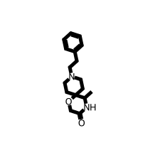 CC1NC(=O)COC12CCN(CCc1ccccc1)CC2